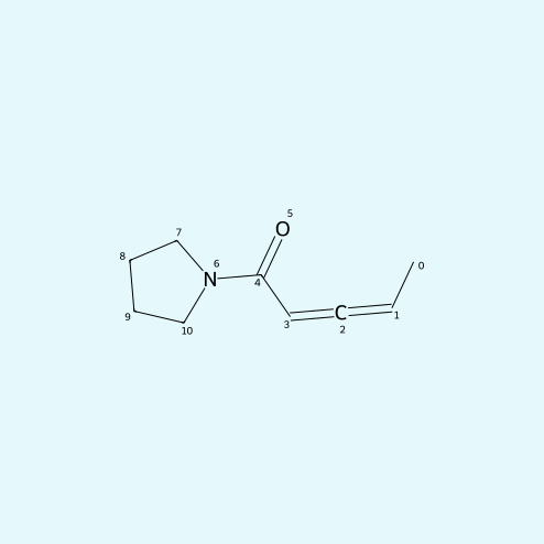 CC=C=CC(=O)N1CCCC1